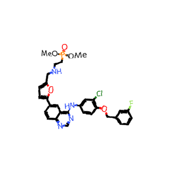 COP(=O)(CCNCc1ccc(-c2ccc3ncnc(Nc4ccc(OCc5cccc(F)c5)c(Cl)c4)c3c2)o1)OC